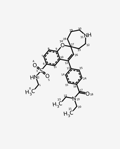 CCNS(=O)(=O)c1ccc2c(c1)C(c1ccc(C(=O)N(CC)CC)cc1)=CC1(CCCNCC1)O2